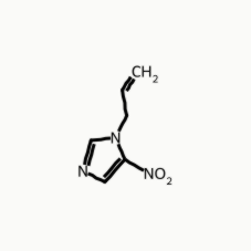 C=CCn1cncc1[N+](=O)[O-]